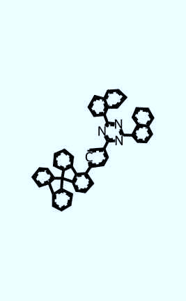 c1ccc2c(c1)-c1ccccc1C21c2ccccc2-c2c(-c3ccc(-c4nc(-c5cccc6ccccc56)nc(-c5cccc6ccccc56)n4)cc3)cccc21